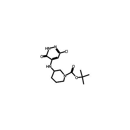 CC(C)(C)OC(=O)N1CCCC(Nc2cc(Cl)n[nH]c2=O)C1